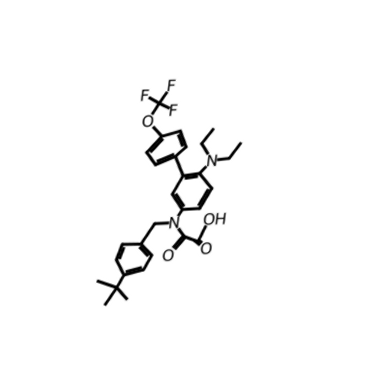 CCN(CC)c1ccc(N(Cc2ccc(C(C)(C)C)cc2)C(=O)C(=O)O)cc1-c1ccc(OC(F)(F)F)cc1